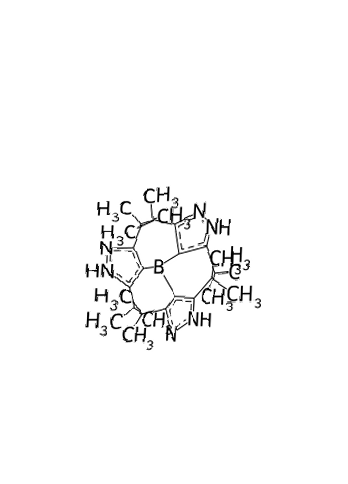 CC(C)c1n[nH]c(C(C)C)c1B(c1c(C(C)C)n[nH]c1C(C)C)c1c(C(C)C)n[nH]c1C(C)C